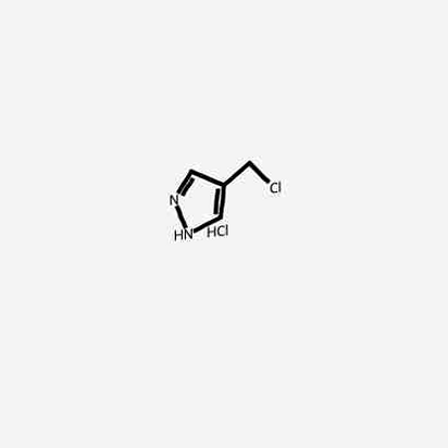 Cl.ClCc1cn[nH]c1